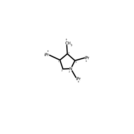 CC(C)C1CN(C(C)C)C(C(C)C)C1C